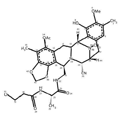 COc1c(C)cc2c(c1O)[C@H]1C3Cc4c(OC(C)=O)c(C)c5c(c4[C@H](CNC(=O)[C@H](C)NC(=O)CCCl)N3[C@@H](C#N)[C@@H](C2)N1C)OCO5